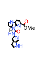 COC(=O)c1ccc2c(n1)N(C(=O)Nc1cc3cc[nH]c3cn1)[C@H]1CCN2C1